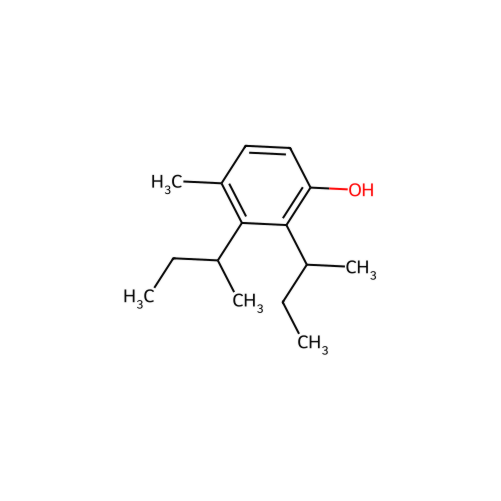 CCC(C)c1c(C)ccc(O)c1C(C)CC